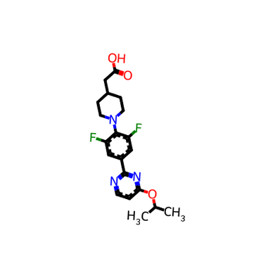 CC(C)Oc1ccnc(-c2cc(F)c(N3CCC(CC(=O)O)CC3)c(F)c2)n1